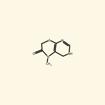 CN1C(=O)CSC2=C1CNC=N2